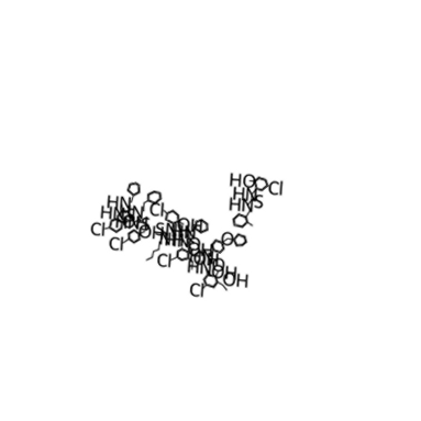 CC(O)c1cc(Cl)cc(NC(=O)Nc2ccc(Oc3ccccc3)cc2)c1O.CC(O)c1cc(Cl)cc(NC(=O)Nc2ccccc2)c1O.CCCCCNC(=S)Nc1cc(Cl)ccc1O.Cc1ccccc1CNC(=S)Nc1cc(Cl)ccc1O.Oc1ccc(Cl)cc1NC(=S)NCCc1ccccc1.Oc1ccc(Cl)cc1NC(=S)NCc1ccccc1